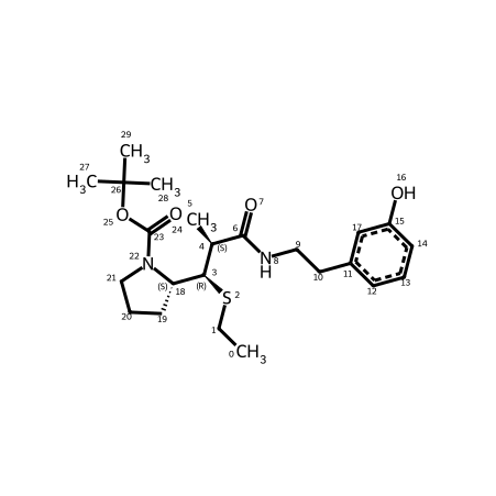 CCS[C@H]([C@@H](C)C(=O)NCCc1cccc(O)c1)[C@@H]1CCCN1C(=O)OC(C)(C)C